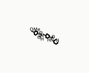 COCc1ccc(S(=O)(=O)NCc2ccc(C(=O)Nc3cccnc3)cc2)cc1